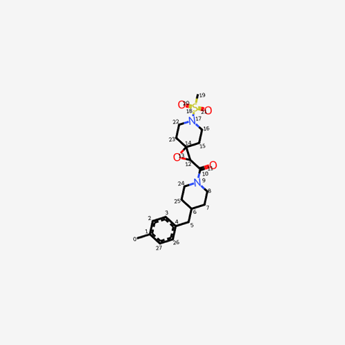 Cc1ccc(CC2CCN(C(=O)C3OC34CCN(S(C)(=O)=O)CC4)CC2)cc1